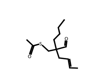 C/C=C/CC(C=O)(CCCC)CSC(C)=O